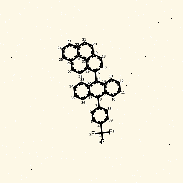 FC(F)(F)c1ccc(-c2c3ccccc3c(-c3ccc4ccc5cccc6ccc3c4c56)c3ccccc23)cc1